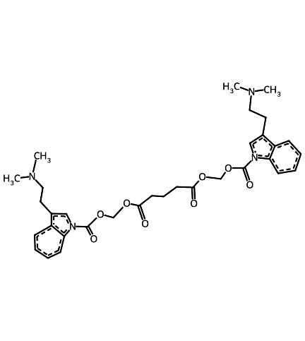 CN(C)CCc1cn(C(=O)OCOC(=O)CCCC(=O)OCOC(=O)n2cc(CCN(C)C)c3ccccc32)c2ccccc12